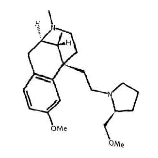 COC[C@@H]1CCCN1CC[C@@]12CCN(C)[C@H](Cc3ccc(OC)cc31)[C@@H]2C